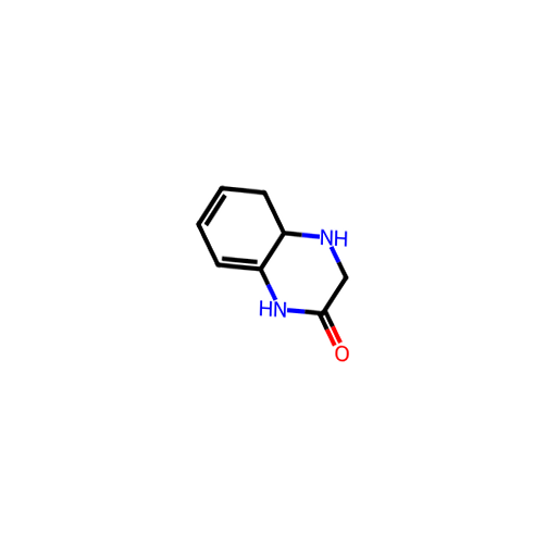 O=C1CNC2CC=CC=C2N1